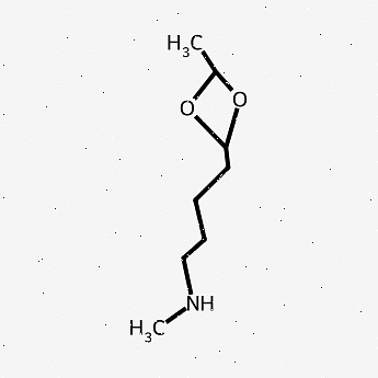 CNCCCCC1OC(C)O1